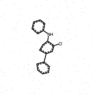 Clc1cc(-c2ccccc2)ccc1Nc1ccccc1